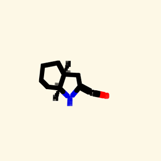 O=C=C1C[C@@H]2CCCC[C@@H]2N1